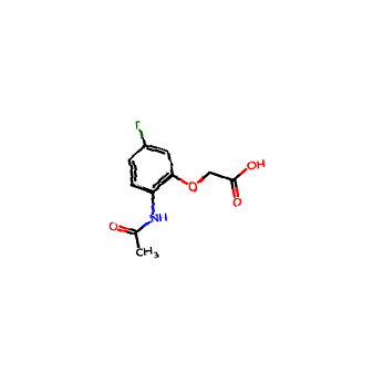 CC(=O)Nc1ccc(F)cc1OCC(=O)O